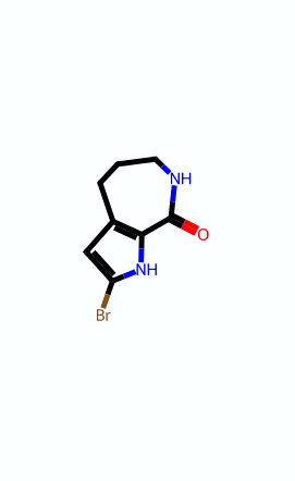 O=C1NCCCc2cc(Br)[nH]c21